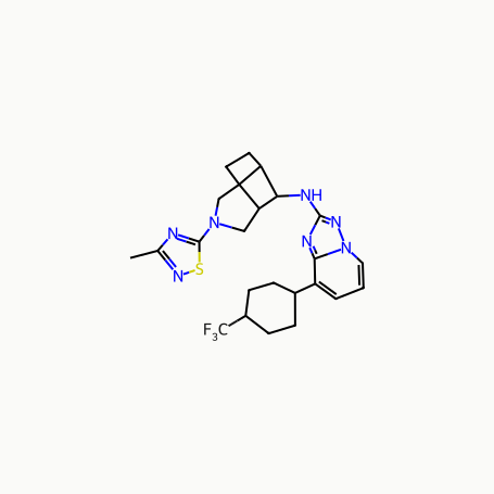 Cc1nsc(N2CC3C(Nc4nc5c(C6CCC(C(F)(F)F)CC6)cccn5n4)C4CCC43C2)n1